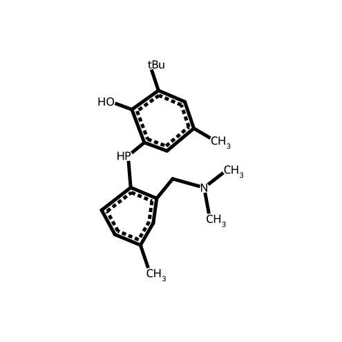 Cc1ccc(Pc2cc(C)cc(C(C)(C)C)c2O)c(CN(C)C)c1